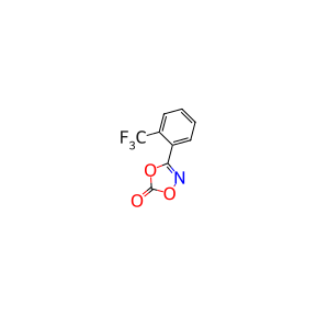 O=c1onc(-c2ccccc2C(F)(F)F)o1